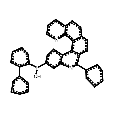 OP(c1ccc2c(c1)nc(-c1ccccc1)c1ccc3ccc4cccnc4c3c12)c1ccccc1-c1ccccc1